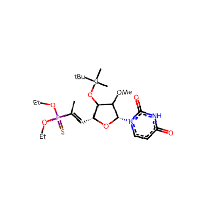 CCOP(=S)(OCC)/C(C)=C/[C@H]1O[C@@H](n2ccc(=O)[nH]c2=O)C(OC)C1O[Si](C)(C)C(C)(C)C